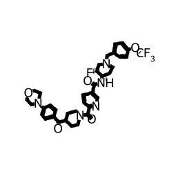 O=C(N[C@@H]1CCN(Cc2ccc(OC(F)(F)F)cc2)C[C@H]1F)c1ccc(C(=O)N2CCC(C(=O)c3ccc(N4CCOCC4)cc3)CC2)nc1